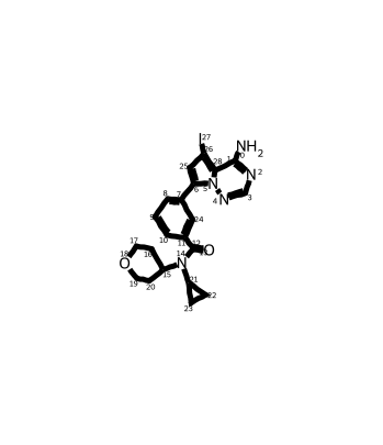 Nc1ncnn2c(-c3cccc(C(=O)N(C4CCOCC4)C4CC4)c3)cc(I)c12